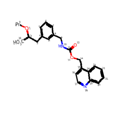 CC(C)OC(Cc1cccc(CNC(=O)OCc2ccnc3ccccc23)c1)C(=O)O